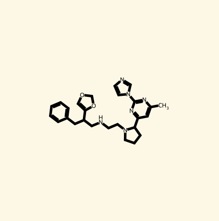 Cc1cc(C2CCCN2CCNCC(Cc2ccccc2)C2=COCO2)nc(-n2ccnc2)n1